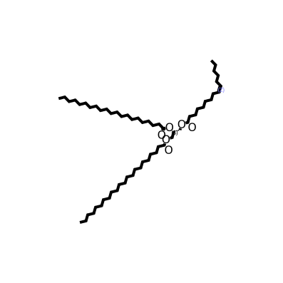 CCCCC/C=C\CCCCCCCC(=O)OC[C@H](COC(=O)CCCCCCCCCCCCCCCCCCCCC)OC(=O)CCCCCCCCCCCCCCCCCCCC